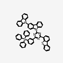 c1ccc([Si](c2ccccc2)(c2ccccc2)c2cccc(-c3nc(-c4cccc5c4sc4ccccc45)nc(-n4c5ccccc5c5cc(-n6c7ccccc7c7ccccc76)ccc54)n3)c2)cc1